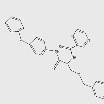 O=C(NC(COCc1ccccc1)C(=O)Nc1ccc(Oc2ccccc2)cc1)c1cnccn1